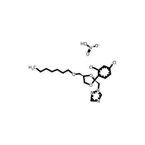 CCCCCCCOC[C@@H]1CO[C@@](Cn2cncn2)(c2ccc(Cl)cc2Cl)O1.O=[N+]([O-])O